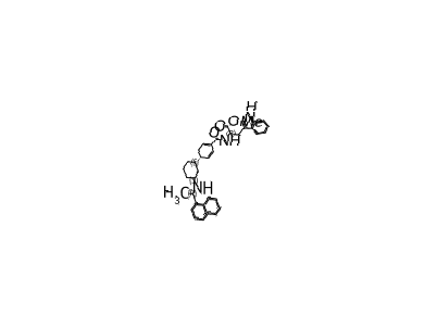 COC(=O)[C@@H](Cc1c[nH]c2ccccc12)NC(=O)C1=CCC([C@H]2CCC[C@H](N[C@H](C)c3cccc4ccccc34)C2)C=C1